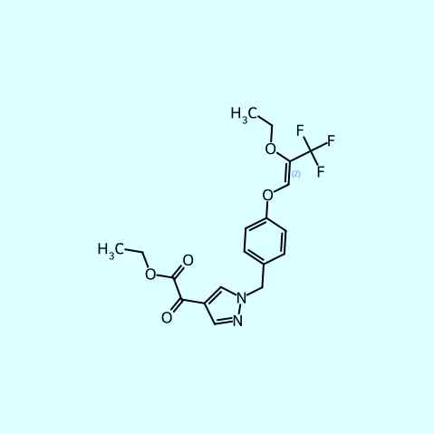 CCOC(=O)C(=O)c1cnn(Cc2ccc(O/C=C(\OCC)C(F)(F)F)cc2)c1